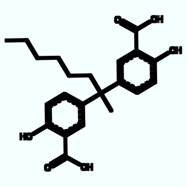 CCCCCCC(C)(c1ccc(O)c(C(=O)O)c1)c1ccc(O)c(C(=O)O)c1